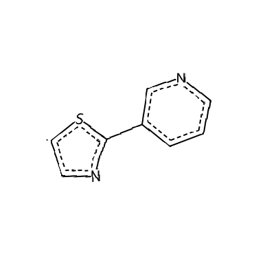 [c]1cnc(-c2cccnc2)s1